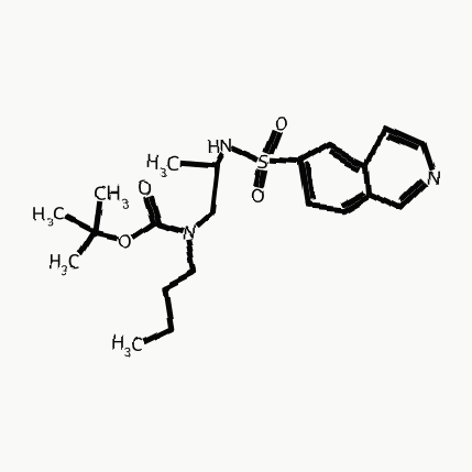 CCCCN(CC(C)NS(=O)(=O)c1ccc2cnccc2c1)C(=O)OC(C)(C)C